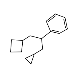 c1ccc([C](CC2CCC2)CC2CC2)cc1